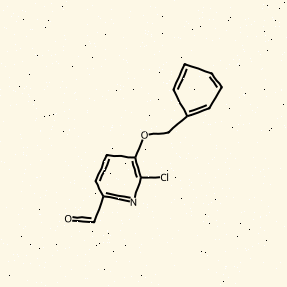 O=Cc1ccc(OCc2ccccc2)c(Cl)n1